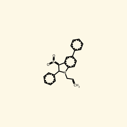 C=CCN1c2ccc(-c3ccccc3)cc2C(=S(=O)=O)C1c1ccccc1